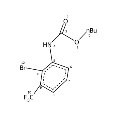 CCCCOC(=O)Nc1cccc(C(F)(F)F)c1Br